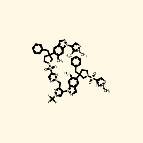 Cc1cc2c(cnn2-c2cn(C(F)(F)F)nc2Cn2ncc(S(=O)(=O)N3CCC(Cc4ccccc4)(c4cc5cnn(-c6cnn(C)c6C)c5cc4C)C3)n2)cc1C1(Cc2ccccc2)CCN(S(=O)(=O)c2cnn(C)n2)C1